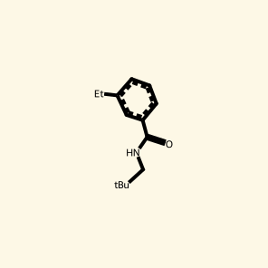 CCc1cccc(C(=O)NCC(C)(C)C)c1